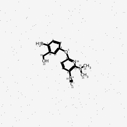 Bc1ccc(Oc2ccc([N+]#[C-])c(N(C)C)n2)cc1CO